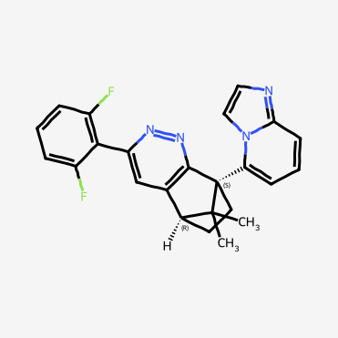 CC1(C)[C@H]2CC[C@]1(c1cccc3nccn13)c1nnc(-c3c(F)cccc3F)cc12